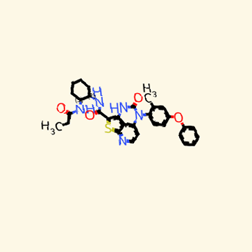 CCC(=O)N[C@H]1CCCC[C@H]1NC(=O)c1sc2nccc3c2c1NC(=O)N3c1ccc(Oc2ccccc2)cc1C